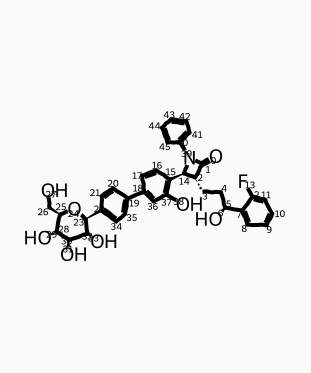 O=C1[C@H](CC[C@H](O)c2ccccc2F)[C@@H](c2ccc(-c3ccc([C@@H]4O[C@H](CO)[C@@H](O)[C@H](O)[C@H]4O)cc3)cc2O)N1c1ccccc1